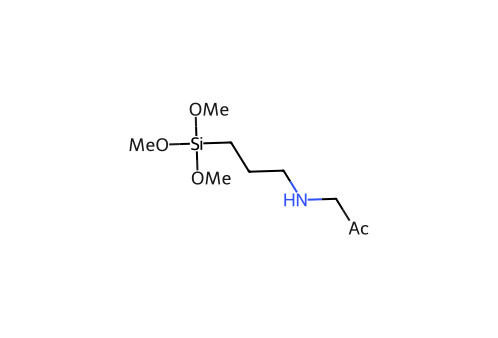 CO[Si](CCCNCC(C)=O)(OC)OC